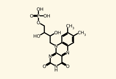 Cc1cc2nc3c(=O)[nH]c(=O)nc-3n(CC(O)C(O)COP(=O)(O)O)c2cc1C